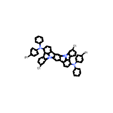 CCc1ccc2c3c(N(c4ccccc4)c4ccc(C(C)C)cc4)ccc4c5cc6c(cc5n(c2c1)c43)c1ccc(N(c2ccccc2)c2ccc(C(C)C)cc2)c2c3ccc(CC)cc3n6c12